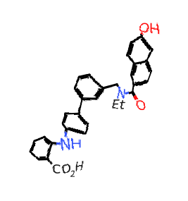 CCN(Cc1cccc(-c2ccc(Nc3ccccc3C(=O)O)cc2)c1)C(=O)c1ccc2cc(O)ccc2c1